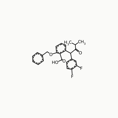 CC(C)C(=O)C(c1ccc(F)c(F)c1)c1cccc(OCc2ccccc2)c1C(=O)O